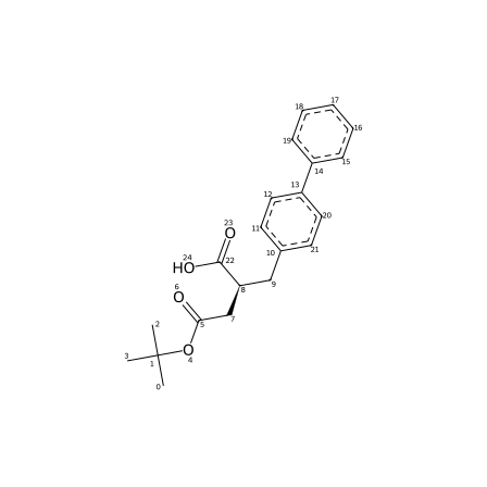 CC(C)(C)OC(=O)C[C@H](Cc1ccc(-c2ccccc2)cc1)C(=O)O